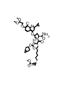 COC(=O)[C@H]1C[C@H]1CCCCCCC[C@H](NC(=O)OC1CC2CC2C1)C(=O)N1CC(Oc2cc(C3CC3)nc3c(Cl)c(OCC(OC)OC)ccc23)C[C@H]1C(N)=O